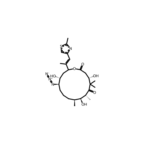 C/C(=C\c1csc(C)n1)C1C[C@@H](O)[C@H](N=[N+]=[N-])CCC[C@H](C)[C@H](O)[C@@H](C)C(=O)C(C)(C)[C@@H](O)CC(=O)O1